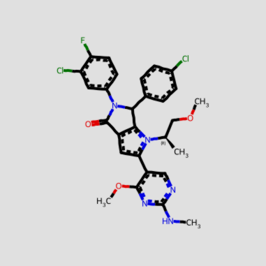 CNc1ncc(-c2cc3c(n2[C@H](C)COC)C(c2ccc(Cl)cc2)N(c2ccc(F)c(Cl)c2)C3=O)c(OC)n1